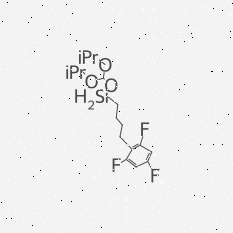 CC(C)OC(O[SiH2]CCCCc1c(F)cc(F)cc1F)OC(C)C